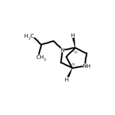 CC(C)CN1C[C@@H]2C[C@H]1CN2